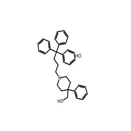 Cl.OCC1(c2ccccc2)CCN(CCCC(c2ccccc2)(c2ccccc2)c2ccccc2)CC1